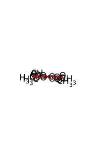 COc1cc(OC)c(C(=O)Oc2ccc(C(=O)Oc3ccc(-c4ccc(OC(=O)c5ccc(OC(=O)c6cc(OC)c(OC)cc6OC)cc5)cc4)cc3)cc2)cc1C=O